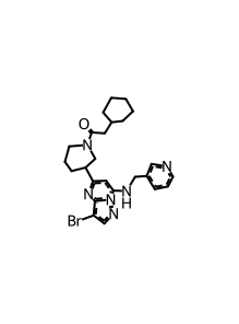 O=C(CC1CCCCC1)N1CCCC(c2cc(NCc3cccnc3)n3ncc(Br)c3n2)C1